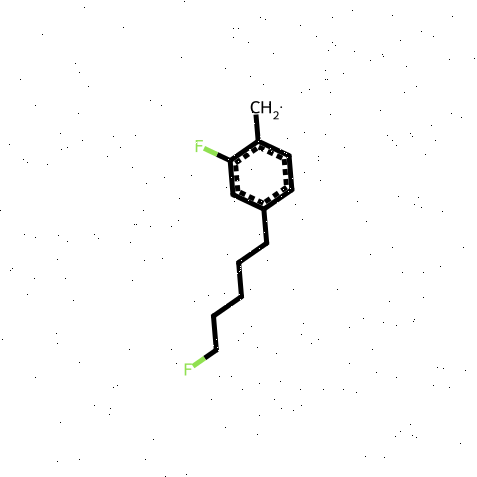 [CH2]c1ccc(CCCCCF)cc1F